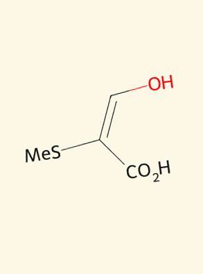 CSC(=CO)C(=O)O